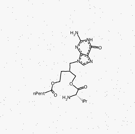 CCCCCC(=O)OCCC(COC(=O)[C@@H](N)C(C)C)Cn1cnc2c(=O)[nH]c(N)nc21